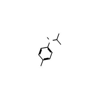 [CH2]c1ccc([S+]([O-])C(C)C)cc1